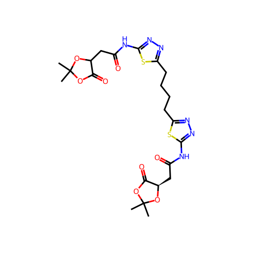 CC1(C)OC(=O)C(CC(=O)Nc2nnc(CCCCc3nnc(NC(=O)C[C@H]4OC(C)(C)OC4=O)s3)s2)O1